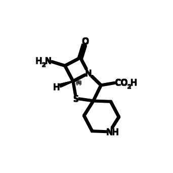 NC1C(=O)N2C(C(=O)O)C3(CCNCC3)S[C@H]12